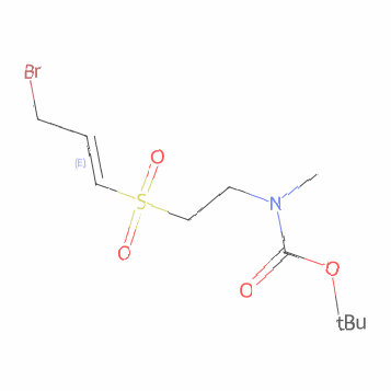 CN(CCS(=O)(=O)/C=C/CBr)C(=O)OC(C)(C)C